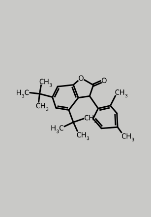 Cc1ccc(C2C(=O)Oc3cc(C(C)(C)C)cc(C(C)(C)C)c32)c(C)c1